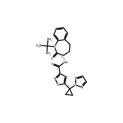 BC(B)(B)N1C(=O)[C@@H](NC(=O)c2cc(C3(n4nccn4)CC3)on2)CCc2ccccc21